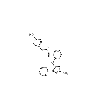 Cc1cc(Oc2ccncc2NC(=O)Nc2ccc(O)cc2)n(-c2ccccc2)n1